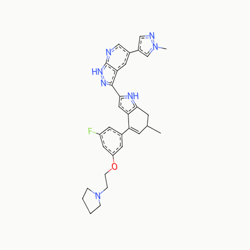 CC1C=C(c2cc(F)cc(OCCN3CCCC3)c2)c2cc(-c3n[nH]c4ncc(-c5cnn(C)c5)cc34)[nH]c2C1